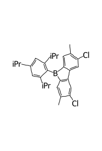 Cc1cc2c(cc1Cl)-c1cc(Cl)c(C)cc1B2c1c(C(C)C)cc(C(C)C)cc1C(C)C